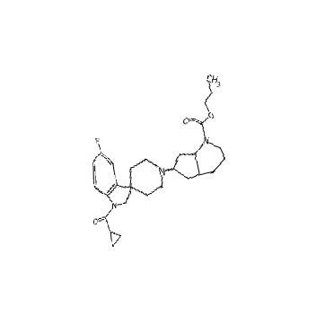 CCCOC(=O)N1CCCC2CC(N3CCC4(CC3)CN(C(=O)C3CC3)c3ccc(F)cc34)CC21